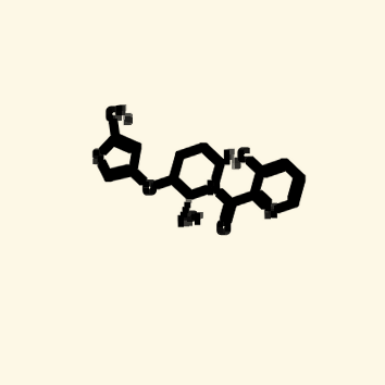 CCC[C@@H]1C(Oc2csc(C(F)(F)F)c2)CCCN1C(=O)c1ncccc1C(F)(F)F